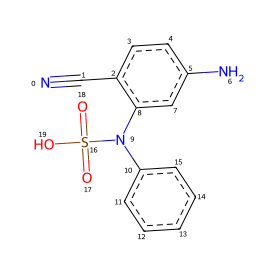 N#Cc1ccc(N)cc1N(c1ccccc1)S(=O)(=O)O